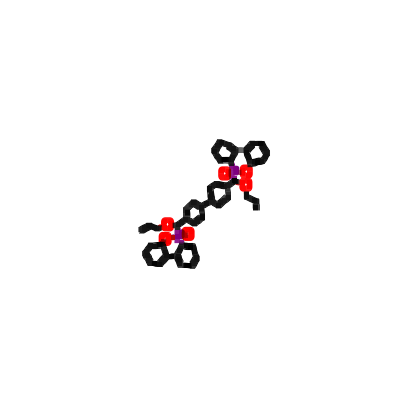 C=CCOC(c1ccc(-c2ccc(C(OCC=C)P3(=O)Oc4ccccc4-c4ccccc43)cc2)cc1)P1(=O)Oc2ccccc2-c2ccccc21